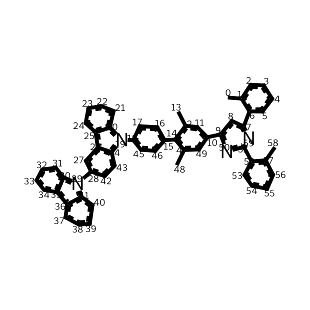 Cc1ccccc1-c1cc(-c2cc(C)c(-c3ccc(-n4c5ccccc5c5cc(-n6c7ccccc7c7ccccc76)ccc54)cc3)c(C)c2)nc(-c2ccccc2C)n1